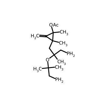 C=C1C(C)(CC(C)(CP)OC(C)(C)CP)C1(C)OC(C)=O